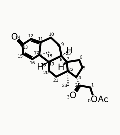 CC(=O)OCC(=O)[C@H]1CC[C@H]2[C@@H]3CCC4=CC(=O)C=C[C@]4(C)[C@H]3CC[C@]12C